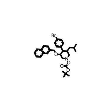 CC(C)CC1CN(OC(=O)OC(C)(C)C)CC(OCc2ccc3ccccc3c2)C1c1ccc(Br)cc1